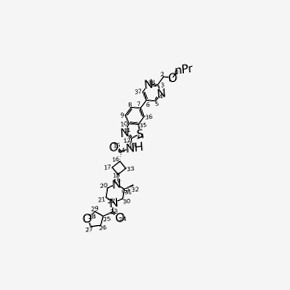 CCCOCc1ncc(-c2ccc3nc(NC(=O)[C@H]4C[C@@H](N5CCN(C(=O)C6CCOC6)C[C@@H]5C)C4)sc3c2)cn1